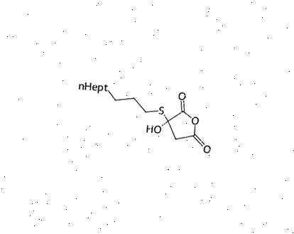 CCCCCCCCCCSC1(O)CC(=O)OC1=O